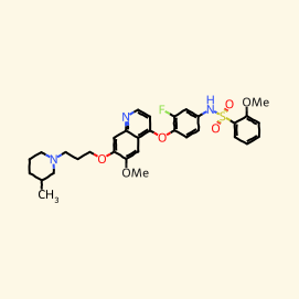 COc1cc2c(Oc3ccc(NS(=O)(=O)c4ccccc4OC)cc3F)ccnc2cc1OCCCN1CCCC(C)C1